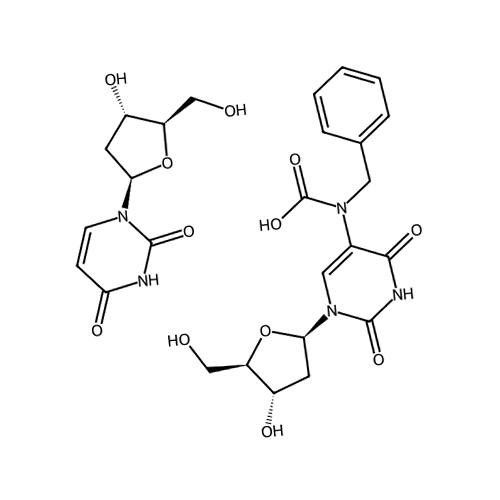 O=C(O)N(Cc1ccccc1)c1cn([C@H]2C[C@H](O)[C@@H](CO)O2)c(=O)[nH]c1=O.O=c1ccn([C@H]2C[C@H](O)[C@@H](CO)O2)c(=O)[nH]1